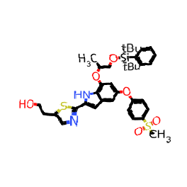 CC(CO[Si](c1ccccc1)(C(C)(C)C)C(C)(C)C)Oc1cc(Oc2ccc(S(C)(=O)=O)cc2)cc2cc(C3=NCC(CCO)S3)[nH]c12